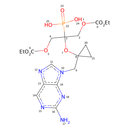 CCOC(=O)OCC(COC(=O)OCC)(OC1(Cn2cnc3cnc(N)nc32)CC1)P(=O)(O)O